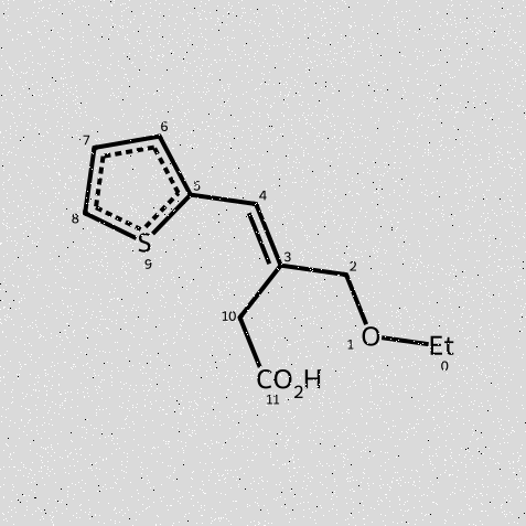 CCOCC(=Cc1cccs1)CC(=O)O